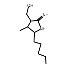 CCCCCC1NC(=N)C(CO)C1C